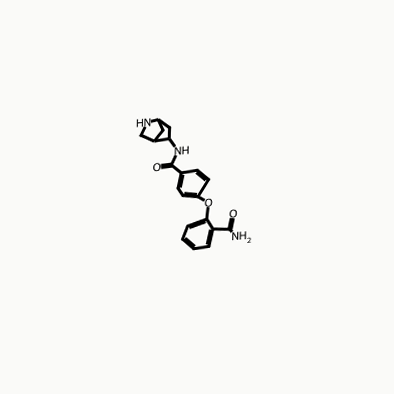 NC(=O)c1ccccc1Oc1ccc(C(=O)NC2CC3CC2CN3)cc1